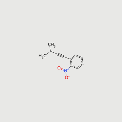 CC(C)C#Cc1ccccc1[N+](=O)[O-]